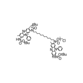 Cc1cc2nc3cc(C)c(N(CCCCCCCCCCCCN(C(=O)OC(C)(C)CCl)c4cc5c(cc4C)nc4cc(C)c(NC(=O)OC(C)(C)C)cc4[n+]5-c4ccccc4)C(=O)OC(C)(C)C)cc3[n+](-c3ccccc3)c2cc1NC(=O)OC(C)(C)C